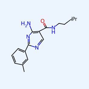 Cc1cccc(-c2ncc(C(=O)NCCC(C)C)c(N)n2)c1